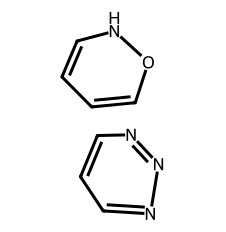 C1=CNOC=C1.c1cnnnc1